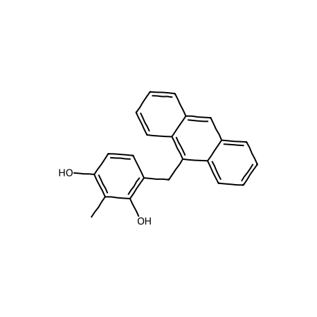 Cc1c(O)ccc(Cc2c3ccccc3cc3ccccc23)c1O